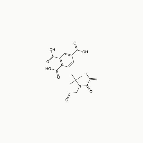 C=C(C)C(=O)N(CC=O)C(C)(C)C.O=C(O)c1ccc(C(=O)O)c(C(=O)O)c1